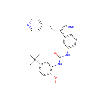 COc1ccc([Si](C)(C)C)cc1NC(=O)Nc1ccc2[nH]cc(CCc3ccncc3)c2c1